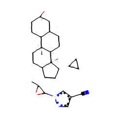 CC1([C@H]2C[C@@H](C3CC3)[C@H]3[C@@H]4CC[C@@H]5C[C@](C)(O)CC[C@@H]5[C@H]4CC[C@@]32C)OC1n1cc(C#N)cn1